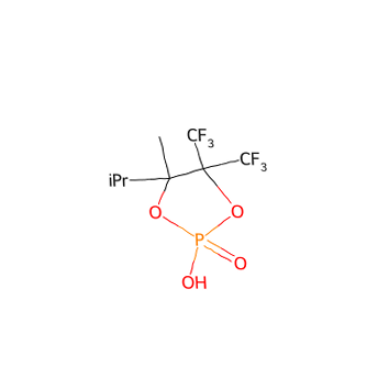 CC(C)C1(C)OP(=O)(O)OC1(C(F)(F)F)C(F)(F)F